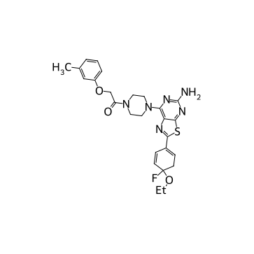 CCOC1(F)C=CC(c2nc3c(N4CCN(C(=O)COc5cccc(C)c5)CC4)nc(N)nc3s2)=CC1